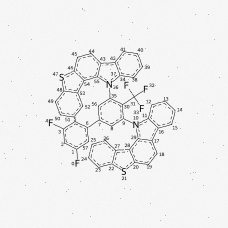 Fc1cc(F)cc(-c2cc(-n3c4ccccc4c4ccc5sc6ccccc6c5c43)c(C(F)(F)F)c(-n3c4ccccc4c4ccc5sc6ccccc6c5c43)c2)c1